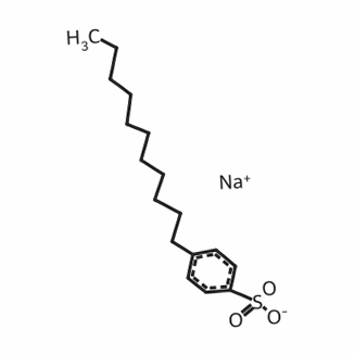 CCCCCCCCCCCc1ccc(S(=O)(=O)[O-])cc1.[Na+]